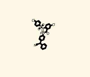 N#CC(c1ccccc1)c1ccc(NC(=O)c2cc(Cl)ccc2NS(=O)(=O)c2ccc(Cl)cc2)cc1